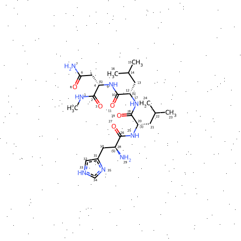 CNC(=O)[C@H](CC(N)=O)NC(=O)[C@H](CC(C)C)NC(=O)[C@H](CC(C)C)NC(=O)[C@@H](N)Cc1c[nH]cn1